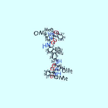 CCCCC1(CCCC)c2cc(NC(=O)[C@@H]3C[C@H](COC)CN3C(=O)[C@H](NC(=O)OC)c3ccccc3)ccc2-c2ccc(NC(=O)[C@@H]3C[C@H](COC)CN3C(=O)[C@H](NC(=O)OC)c3ccccc3)cc21